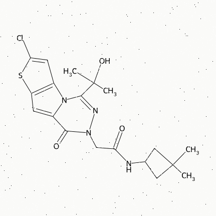 CC1(C)CC(NC(=O)Cn2nc(C(C)(C)O)n3c(cc4sc(Cl)cc43)c2=O)C1